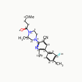 COCCC(=O)N1CCN(c2nc(C(C)C)c(-c3ccc(C)c(F)c3)cc2C#N)CC1C